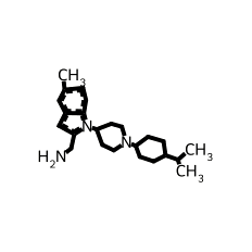 Cc1ccc2c(c1)cc(CN)n2C1CCN(C2CCC(C(C)C)CC2)CC1